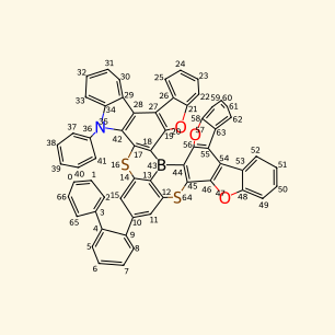 c1ccc(-c2ccccc2-c2cc3c4c(c2)Sc2c(c5oc6ccccc6c5c5c6ccccc6n(-c6ccccc6)c25)B4c2c(c4oc5ccccc5c4c4c2oc2ccccc24)S3)cc1